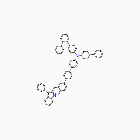 c1ccc(-c2ccc(N(c3ccc(-c4ccc(-c5ccc6cn7c(cc6c5)c(-c5ccccc5)c5ccccc57)cc4)cc3)c3ccc(-c4ccccc4-c4ccccc4)cc3)cc2)cc1